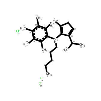 CCCCC[SiH](C1=[C]([Ti+3])CC=C1C(C)C)c1c(C)c(C)c(C)c(C)c1C.[Cl-].[Cl-].[Cl-]